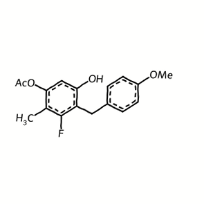 COc1ccc(Cc2c(O)cc(OC(C)=O)c(C)c2F)cc1